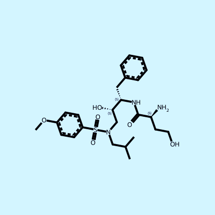 COc1ccc(S(=O)(=O)N(CC(C)C)C[C@H](O)[C@H](Cc2ccccc2)NC(=O)[C@@H](N)CCO)cc1